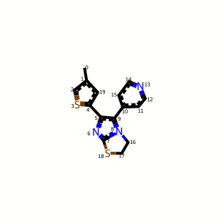 Cc1csc(-c2nc3n(c2-c2ccncc2)CCS3)c1